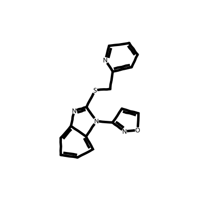 c1ccc(CSc2nc3ccccc3n2-c2ccon2)nc1